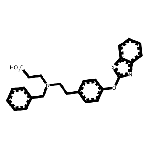 O=C(O)CCN(CCc1ccc(Oc2nc3ccccc3s2)cc1)Cc1ccccc1